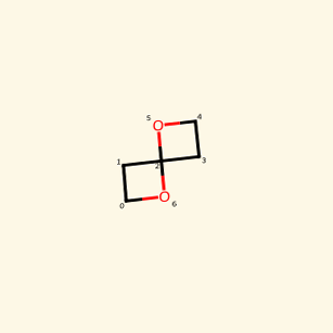 C1CC2(CCO2)O1